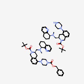 CN(C[C@H]1Cc2c(cccc2N2CCN(C(=O)OCc3ccccc3)CC2)CN1C(=O)OC(C)(C)C)[C@H]1CCCc2cccnc21.CN(C[C@H]1Cc2c(cccc2N2CCNCC2)CN1C(=O)OC(C)(C)C)[C@H]1CCCc2cccnc21